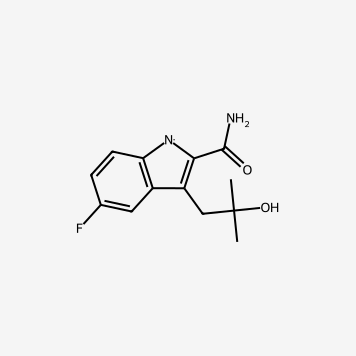 CC(C)(O)CC1=C(C(N)=O)[N]c2ccc(F)cc21